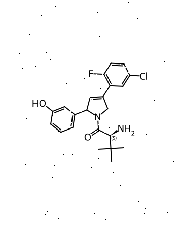 CC(C)(C)[C@H](N)C(=O)N1CC(c2cc(Cl)ccc2F)=CC1c1cccc(O)c1